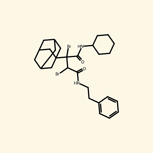 O=C(NCCc1ccccc1)C(Br)C(Br)(C(=O)NC1CCCCC1)C12CC3CC(CC(C3)C1)C2